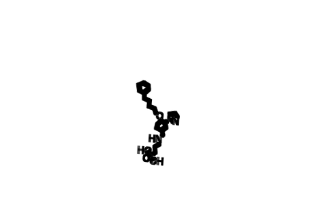 O=P(O)(O)CCCNCc1ccc(OCCCCCc2ccccc2)c(-n2cccn2)c1